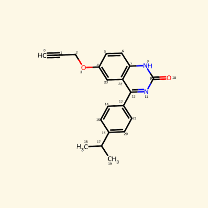 C#CCOc1ccc2[nH]c(=O)nc(-c3ccc(C(C)C)cc3)c2c1